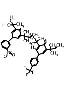 C=CC(C)(C)C1=CC(c2ccc(C(F)(F)F)cc2)C=C(C(C)(C)C)C1=O.C=CC(C)(C)C1=CC(c2cccc([N+](=O)[O-])c2)C=C(C(C)(C)C)C1=O